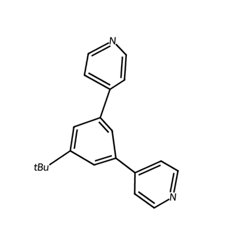 CC(C)(C)c1cc(-c2ccncc2)cc(-c2ccncc2)c1